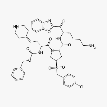 NCCCC[C@H](NC(=O)[C@@H]1C[C@@H](S(=O)(=O)Cc2ccc(Cl)cc2)CN1C(=O)[C@@H](CC=C1CCNCC1)NC(=O)OCc1ccccc1)C(=O)c1nc2ccccc2o1